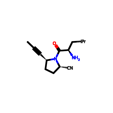 CC#C[C@H]1CC[C@@H](C#N)N1C(=O)[C@H](N)CC(C)C